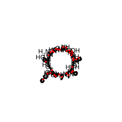 CCCC[C@H]1C(=O)N(C)[C@@H](CCCC)C(=O)N[C@@H](CC(C)C)C(=O)N[C@H](C(=O)NCC(=O)N2CCC(c3ccccc3)CC2)CSCC(=O)N[C@@H](Cc2ccc(O)cc2)C(=O)N(C)[C@@H](C)C(=O)N[C@@H](CC(N)=O)C(=O)N2CCC[C@H]2C(=O)N[C@@H](CN)C(=O)N[C@@H](CC(C)C)C(=O)N2C[C@H](O)C[C@H]2C(=O)N[C@@H](Cc2c[nH]c3ccccc23)C(=O)NCC(=O)N[C@@H](Cc2c[nH]c3ccccc23)C(=O)N1C